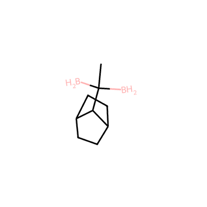 BC(B)(C)C1C2CCC1CC2